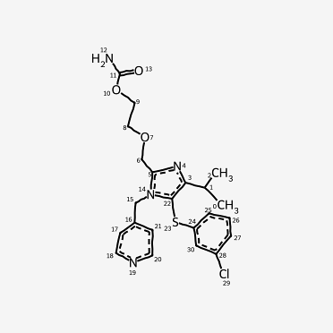 CC(C)c1nc(COCCOC(N)=O)n(Cc2ccncc2)c1Sc1cccc(Cl)c1